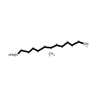 C.CCCCCCCCCCCCCCCCCCO